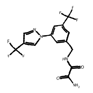 NC(=O)C(=O)NCc1cc(-n2cc(C(F)(F)F)cn2)cc(C(F)(F)F)c1